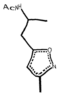 CC(=O)NC(C)Cc1cc(C)no1